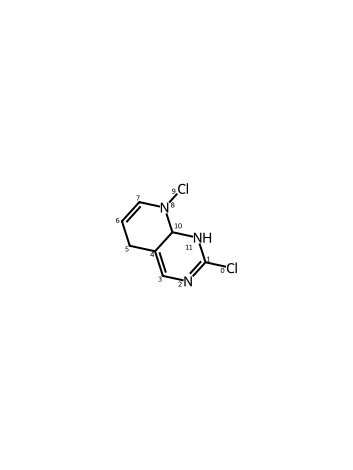 ClC1=NC=C2CC=CN(Cl)C2N1